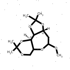 COC1C[C@H]2OC(C)(C)OC2[C@@H]2OC(C)(C)OCC2O1